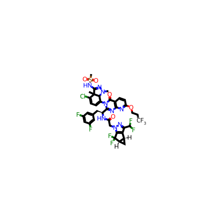 CN1N=C(NS(C)(=O)=O)C2(C)C(Cl)=CC=C(n3c([C@H](Cc4cc(F)cc(F)c4)NC(=O)Cn4nc(C(F)F)c5c4C(F)(F)[C@@H]4C[C@H]54)nc4nc(OCCC(F)(F)F)ccc4c3=O)C12